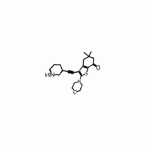 CC1(C)CC(=O)c2sc(N3CCOCC3)c(C#CC3CCCNC3)c2C1